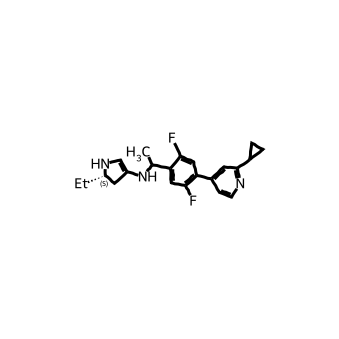 CC[C@H]1CC(NC(C)c2cc(F)c(-c3ccnc(C4CC4)c3)cc2F)=CN1